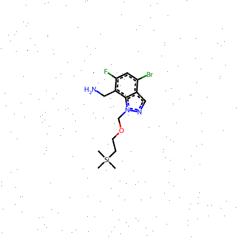 C[Si](C)(C)CCOCn1ncc2c(Br)cc(F)c(CN)c21